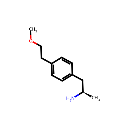 COCCc1ccc(C[C@@H](C)N)cc1